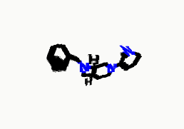 c1ccc(CN2C[C@@H]3CCN(c4cccnc4)C[C@@H]32)cc1